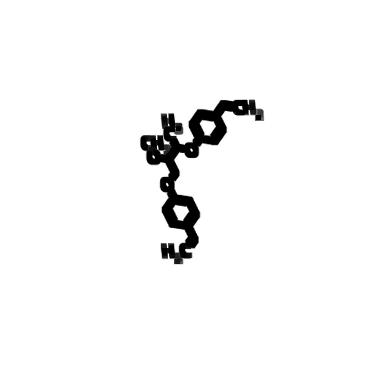 C=Cc1ccc(OCC(OC)C(C)Oc2ccc(C=C)cc2)cc1